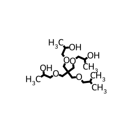 CC(C)COCC(COCC(C)O)(COCC(C)O)COCC(C)O